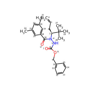 C=CC[C@H](N(NC(=O)OCc1ccccc1)C(=O)c1cc(C)cc(C)c1)C(C)(C)C